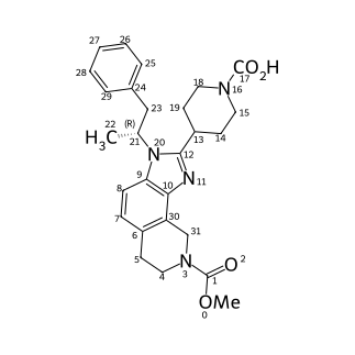 COC(=O)N1CCc2ccc3c(nc(C4CCN(C(=O)O)CC4)n3[C@H](C)Cc3ccccc3)c2C1